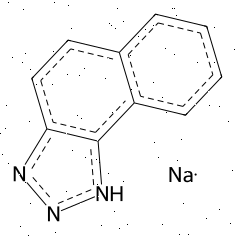 [Na].c1ccc2c(c1)ccc1nn[nH]c12